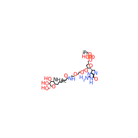 CC(=O)N[C@H]1C(CCCCCC(=O)NCCOCCOCO[C@@H]2C[C@@H](COP(=O)(O)OC(C)C)O[C@H]2C2C=Nc3c2nc(N)[nH]c3=O)O[C@H](CO)[C@H](O)[C@@H]1O